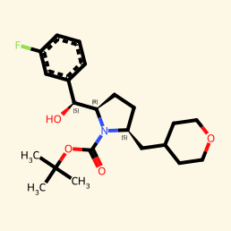 CC(C)(C)OC(=O)N1[C@H](CC2CCOCC2)CC[C@@H]1[C@@H](O)c1cccc(F)c1